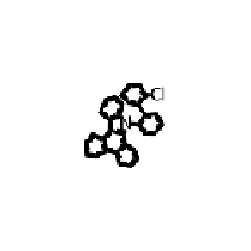 Clc1ccccc1-c1ccccc1-n1c2ccccc2c2c3ccccc3c3ccccc3c21